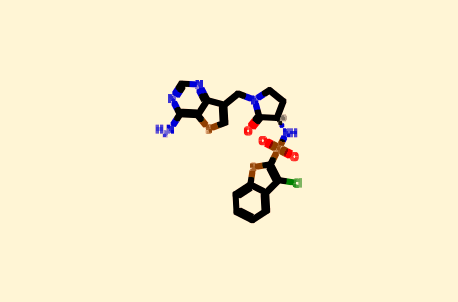 Nc1ncnc2c(CN3CC[C@H](NS(=O)(=O)c4sc5ccccc5c4Cl)C3=O)csc12